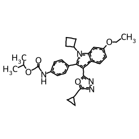 CCOc1ccc2c(-c3nnc(C4CC4)o3)c(-c3ccc(NC(=O)OC(C)C)cc3)n(C3CCC3)c2c1